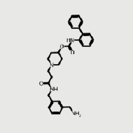 NCc1cccc(CNC(=O)CCN2CCC(OC(=O)Nc3ccccc3-c3ccccc3)CC2)c1